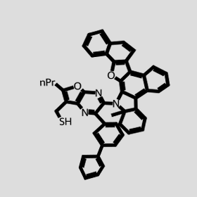 CCCc1oc2nc(N3c4c(c5ccccc5c5c4oc4c6ccccc6ccc45)C4=CC=CCC43C)c(-c3cccc(-c4ccccc4)c3)nc2c1CS